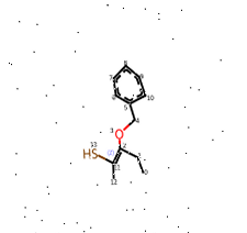 CC/C(OCc1ccccc1)=C(\C)S